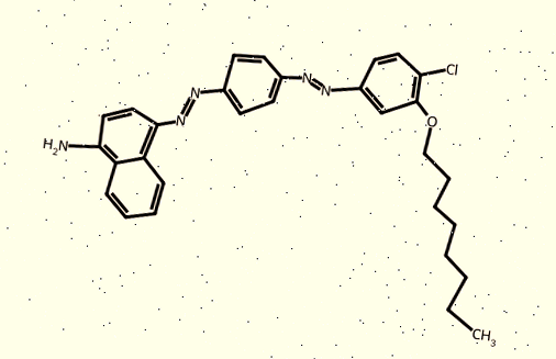 CCCCCCCCOc1cc(N=Nc2ccc(N=Nc3c[c]c(N)c4ccccc34)cc2)ccc1Cl